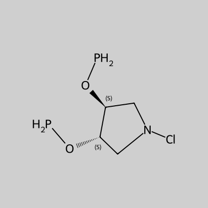 PO[C@H]1CN(Cl)C[C@@H]1OP